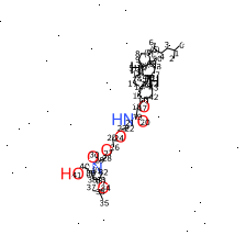 CC(C)CC[C@H](C)[C@@H]1CC[C@@H]2C3CCC4=C[C@H](OCC(=O)NCCOCCOCC(=O)N5C[C@H](OC(C)C)C[C@H]5CO)CC[C@@]4(C)[C@@H]3CC[C@]21C